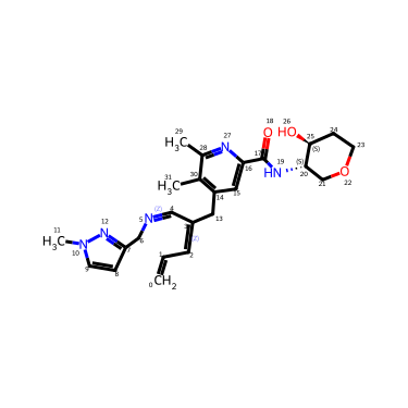 C=C/C=C(\C=N/Cc1ccn(C)n1)Cc1cc(C(=O)N[C@H]2COCC[C@@H]2O)nc(C)c1C